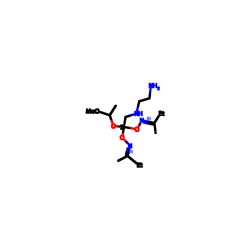 CC/C(C)=N/O[Si](CNCCN)(O/N=C(\C)CC)OC(C)OC